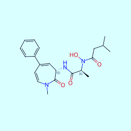 CC(C)CC(=O)N(O)[C@@H](C)C(=O)N[C@H]1C=C(c2ccccc2)C=CN(C)C1=O